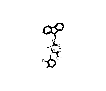 Cc1cccc(C[C@H](NC(=O)OCC2c3ccccc3-c3ccccc32)C(=O)O)c1F